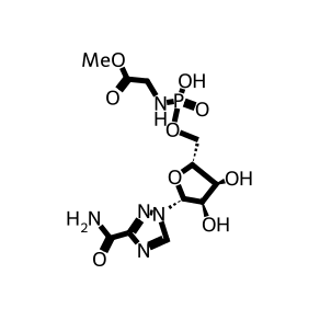 COC(=O)CNP(=O)(O)OC[C@H]1O[C@@H](n2cnc(C(N)=O)n2)[C@H](O)[C@@H]1O